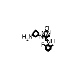 Cc1cccc(F)c1NCc1cnc(Cl)nc1NC1CCCC(N)C1